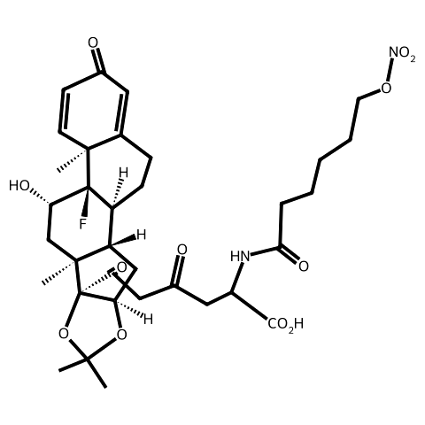 CC1(C)O[C@@H]2C[C@H]3[C@@H]4CCC5=CC(=O)C=C[C@]5(C)[C@@]4(F)[C@@H](O)C[C@]3(C)[C@]2(C(=O)CC(=O)CC(NC(=O)CCCCCO[N+](=O)[O-])C(=O)O)O1